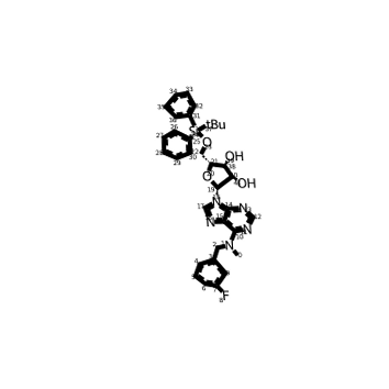 CN(Cc1cccc(F)c1)c1ncnc2c1ncn2[C@@H]1O[C@H](CO[Si](c2ccccc2)(c2ccccc2)C(C)(C)C)[C@@H](O)[C@H]1O